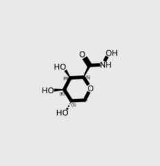 O=C(NO)[C@H]1O[CH][C@H](O)[C@@H](O)[C@H]1O